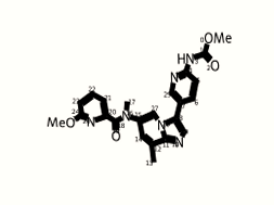 COC(=O)Nc1ccc(-c2cnc3c(C)cc(N(C)C(=O)c4cccc(OC)n4)cn23)cn1